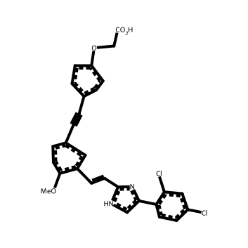 COc1ccc(C#Cc2ccc(OCC(=O)O)cc2)cc1/C=C/c1nc(-c2ccc(Cl)cc2Cl)c[nH]1